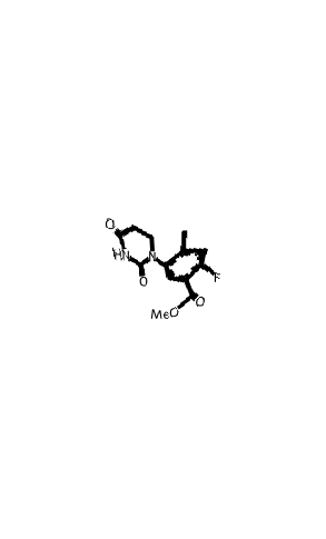 COC(=O)c1cc(N2CCC(=O)NC2=O)c(C)cc1F